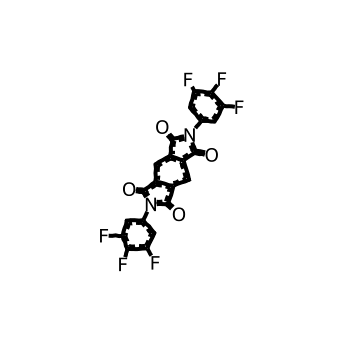 O=c1c2cc3c(=O)n(-c4cc(F)c(F)c(F)c4)c(=O)c3cc2c(=O)n1-c1cc(F)c(F)c(F)c1